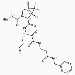 C=CCC[C@H](NC(=O)[C@@H]1[C@@H]2[C@H](CN1C(=O)[C@@H](C)C(C)(C)C)C2(C)C)C(=O)C(=O)NCCC(=O)NCc1ccccc1